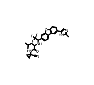 Cc1ncc(-c2ccc3oc4cc(C(NC(CC(C)C)C(=O)NC5(C#N)CC5)C(F)(F)F)ccc4c3c2)[nH]1